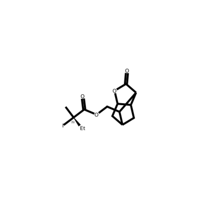 CC[C@](C)(I)C(=O)OCC1C2CC3OC(=O)C1C3C2